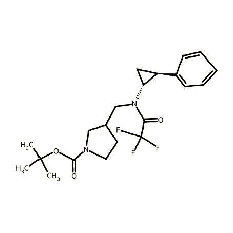 CC(C)(C)OC(=O)N1CCC(CN(C(=O)C(F)(F)F)[C@@H]2C[C@H]2c2ccccc2)C1